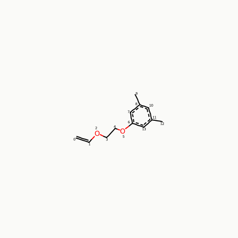 C=COCCOc1cc(C)cc(C)c1